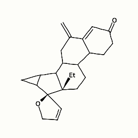 C=C1CC2C(CC[C@@]3(CC)C2C2CC2[C@@]32C=CCO2)C2CCC(=O)C=C12